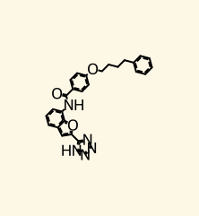 O=C(Nc1cccc2cc(-c3nnn[nH]3)oc12)c1ccc(OCCCCc2ccccc2)cc1